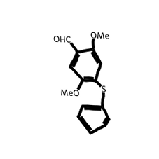 COc1cc(Sc2ccccc2)c(OC)cc1C=O